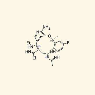 CCN/C1=C(\C(=N)Cl)C/C(=C/C(C)=N)Nc2ccc(F)cc2[C@@H](C)Oc2cc1cnc2N